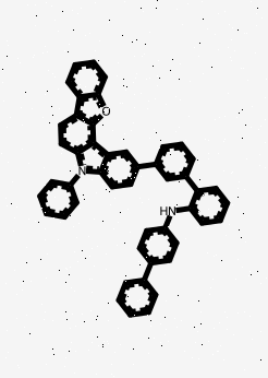 c1ccc(-c2ccc(Nc3ccccc3-c3cccc(-c4ccc5c(c4)c4c6oc7ccccc7c6ccc4n5-c4ccccc4)c3)cc2)cc1